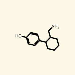 NCC1CCCCC1c1ccc(O)cc1